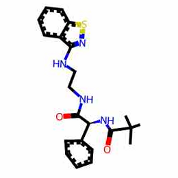 CC(C)(C)C(=O)N[C@H](C(=O)NCCNc1nsc2ccccc12)c1ccccc1